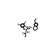 CCC(=O)N[C@@H](Cc1cc(F)cc(F)c1)[C@@H](N)CN[C@H]1CCCc2ccc(CC)cc21